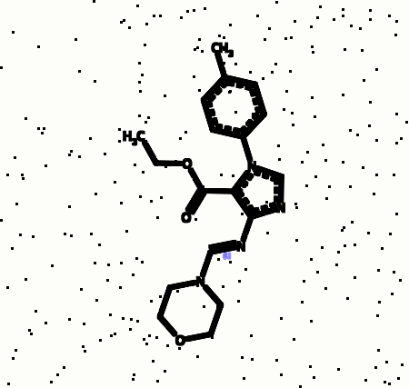 CCOC(=O)c1c(/N=C/N2CCOCC2)ncn1-c1ccc(C)cc1